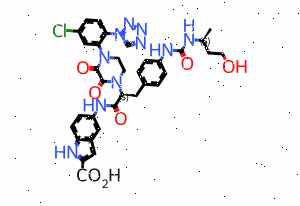 C[C@@H](CCO)NC(=O)Nc1ccc(C[C@@H](C(=O)Nc2ccc3[nH]c(C(=O)O)cc3c2)N2CCN(c3cc(Cl)ccc3-n3cnnn3)C(=O)C2=O)cc1